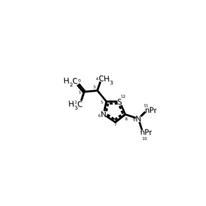 C=C(C)C(C)c1ncc(N(CCC)CCC)s1